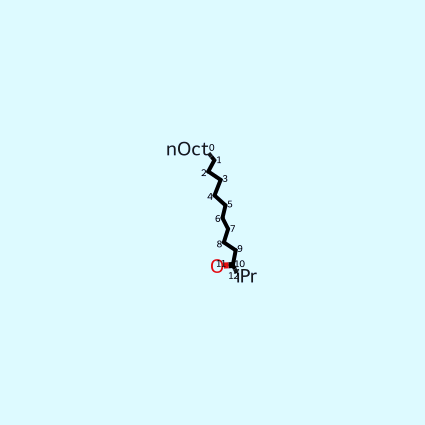 CCCCCCCCCCCCCCCCCC(=O)C(C)C